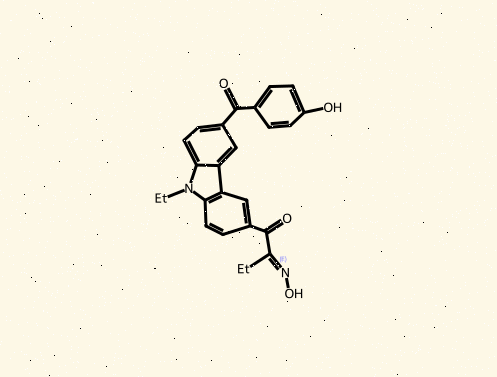 CC/C(=N\O)C(=O)c1ccc2c(c1)c1cc(C(=O)c3ccc(O)cc3)ccc1n2CC